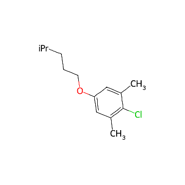 Cc1cc(OCCCC(C)C)cc(C)c1Cl